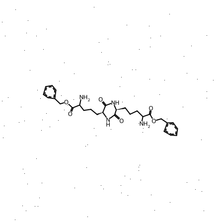 NC(CCC[C@@H]1NC(=O)[C@H](CCCC(N)C(=O)OCc2ccccc2)NC1=O)C(=O)OCc1ccccc1